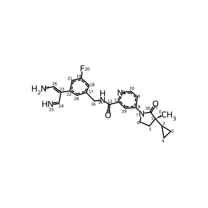 C[C@@]1(C2CC2)CCN(c2ccnc(C(=O)NCc3cc(F)cc(/C(C=N)=C/N)c3)c2)C1=O